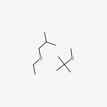 CCOCC(C)C.COC(C)(C)C